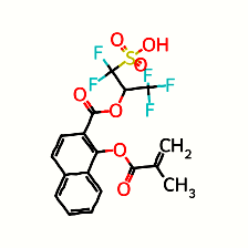 C=C(C)C(=O)Oc1c(C(=O)OC(C(F)(F)F)C(F)(F)S(=O)(=O)O)ccc2ccccc12